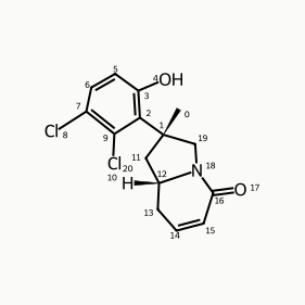 C[C@]1(c2c(O)ccc(Cl)c2Cl)C[C@H]2CC=CC(=O)N2C1